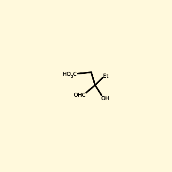 CCC(O)(C=O)CC(=O)O